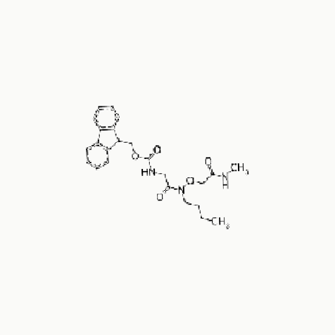 CCCCN(OCC(=O)NC)C(=O)CNC(=O)OCC1c2ccccc2-c2ccccc21